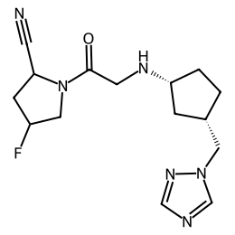 N#CC1CC(F)CN1C(=O)CN[C@@H]1CC[C@H](Cn2cncn2)C1